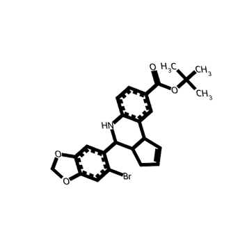 CC(C)(C)OC(=O)c1ccc2c(c1)C1C=CCC1C(c1cc3c(cc1Br)OCO3)N2